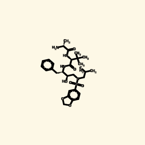 CC(C)CN(C[C@@H](O)[C@H](Cc1ccccc1)NC(=O)[C@@H](NC(=O)[C@@H](C)N)C(C)(C)C)S(=O)(=O)c1ccc2c(c1)OCO2